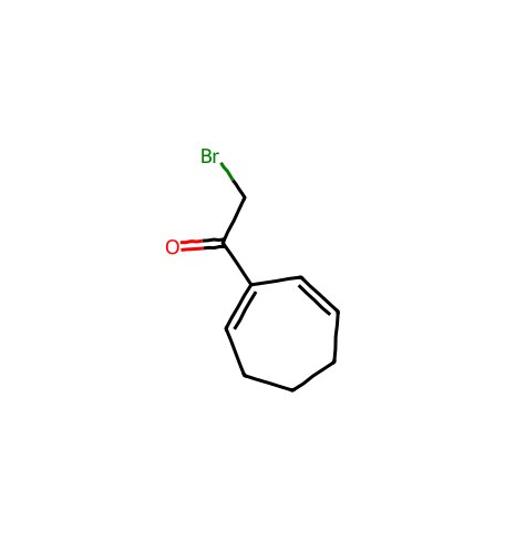 O=C(CBr)C1=CCCCC=C1